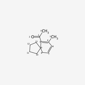 CC(=O)C1=C(C)C=CCC12CCCC2